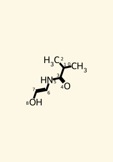 CC(C)C(=O)NC=CO